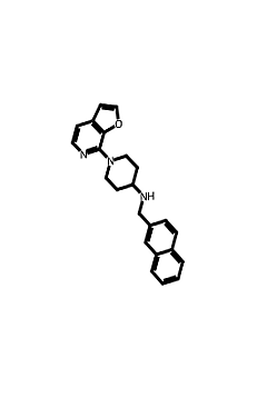 c1ccc2cc(CNC3CCN(c4nccc5ccoc45)CC3)ccc2c1